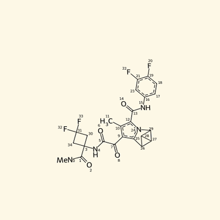 CNC(=O)C1(NC(=O)C(=O)c2c(C)c(C(=O)Nc3ccc(F)c(F)c3)n3c2C2C4C2C43)CC(F)(F)C1